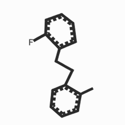 Cc1ccccc1CCc1ccccc1F